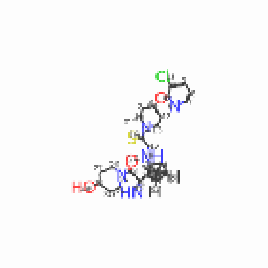 C[C@@H]1C[C@H](Oc2ncccc2Cl)CCN1C(=S)CNC1=C(C(=N)C(=O)N2CCC(O)CC2)[C@H]2[C@H]3C1[C@]32C